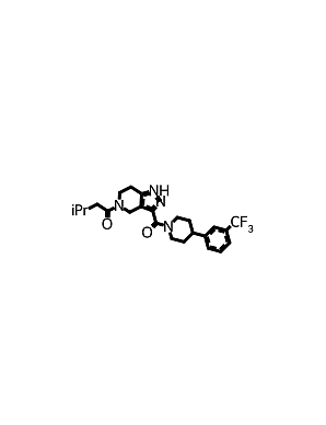 CC(C)CC(=O)N1CCc2[nH]nc(C(=O)N3CCC(c4cccc(C(F)(F)F)c4)CC3)c2C1